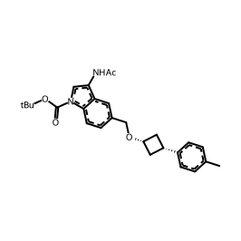 CC(=O)Nc1cn(C(=O)OC(C)(C)C)c2ccc(CO[C@H]3C[C@@H](c4ccc(C)cc4)C3)cc12